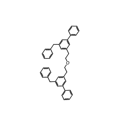 c1ccc(Cc2cc(CCOCCc3cc(Cc4ccccc4)cc(-c4ccccc4)c3)cc(-c3ccccc3)c2)cc1